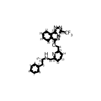 C[C@@H](Cc1ccccc1)NCc1cccc(COc2nn3c(C(F)(F)F)nnc3c3ccccc23)n1